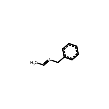 C/C=N/Cc1ccccc1